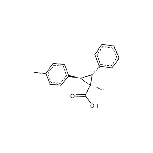 Cc1ccc([C@H]2[C@H](c3ccccc3)[C@@]2(C)C(=O)O)cc1